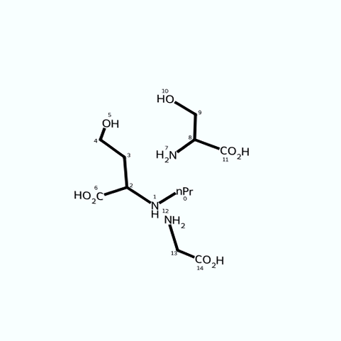 CCCNC(CCO)C(=O)O.NC(CO)C(=O)O.NCC(=O)O